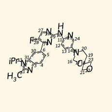 Cc1nc2ccc(-c3nc(Nc4ccc(N5CCC6(CC5)COC6)cn4)ncc3F)cc2n1C(C)C